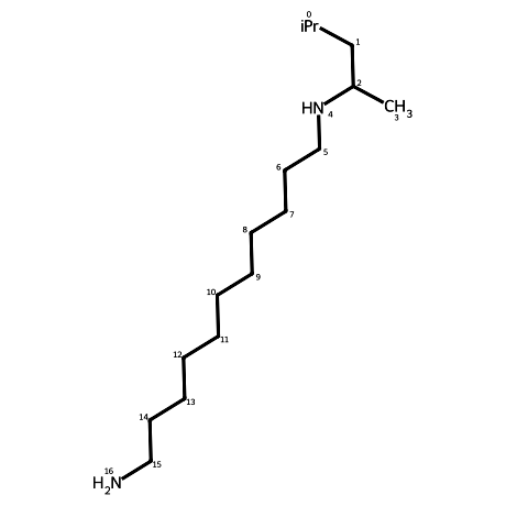 CC(C)CC(C)NCCCCCCCCCCCN